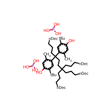 CCCCCCCCCCCCCC(CCCCCCCCCCCCC)(CCCCCCCCCCCCC)CCC(CCCCCCCCCCCCC)(c1cc(C(C)(C)C)c(O)cc1C)c1cc(C(C)(C)C)c(O)cc1C.OP(O)O.OP(O)O